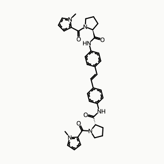 Cn1cccc1C(=O)N1CCC[C@H]1C(=O)Nc1ccc(/C=C/c2ccc(NC(=O)[C@@H]3CCCN3C(=O)c3cccn3C)cc2)cc1